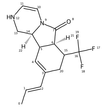 CC=CC1=CC2[C@@H](C(=O)N3C=CNC[C@H]23)C(C(F)(F)F)C1